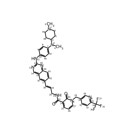 CN1CCC(N(C)c2ccc(Nc3ncc4cc(/C=C/CNC(=O)c5cccn(Cc6ccc(C(F)(F)F)nc6)c5=O)ccc4n3)cc2)CC1